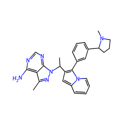 Cc1nn(C(C)c2cc3ccccn3c2-c2cccc(C3CCCN3C)c2)c2ncnc(N)c12